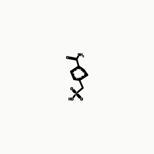 NC(=O)c1ccc(CS(=O)(=O)O)cc1